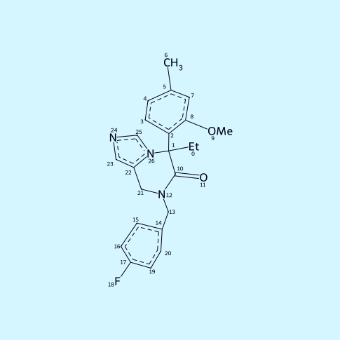 CCC1(c2ccc(C)cc2OC)C(=O)N(Cc2ccc(F)cc2)Cc2cncn21